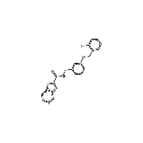 O=C(NCc1cccc(OCc2ccccc2F)c1)c1cn2ccncc2n1